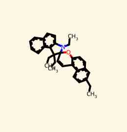 CCc1ccc2c3c(ccc2c1)OC1(C=C3)N(CC)c2ccc3ccccc3c2C1(CC)CC